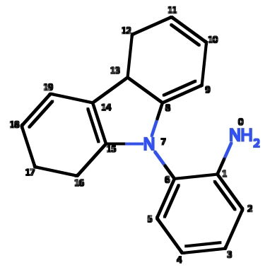 Nc1ccccc1N1C2=CC=CCC2C2=C1CCC=C2